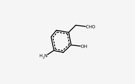 Nc1ccc(CC=O)c(O)c1